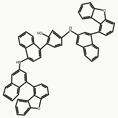 Oc1cc(Nc2cc(-c3cccc4oc5ccccc5c34)c3ccccc3c2)ccc1-c1ccc(Nc2cc(-c3cccc4oc5ccccc5c34)c3ccccc3c2)c2ccccc12